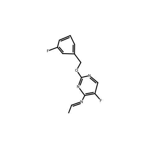 C/C=N/c1nc(OCc2cccc(F)c2)ncc1F